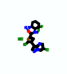 Cl.N[C@@H]1CCCC(F)(F)[C@@H]1NC(=O)c1cc(-c2cnn3cc(Cl)cnc23)c(Cl)s1